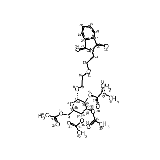 CC(=O)OC[C@H]1O[C@H](OCCOCCN2C(=O)c3ccccc3C2=O)[C@@H](OC(=O)N(C)C)[C@@H](OC(C)=O)[C@@H]1OC(C)=O